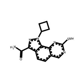 CSc1ncc2ccc3c(C(N)=O)nn(C4CCC4)c3c2n1